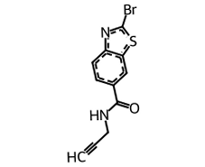 C#CCNC(=O)c1ccc2nc(Br)sc2c1